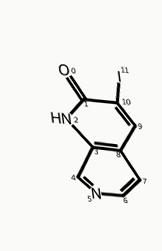 O=c1[nH]c2cnccc2cc1I